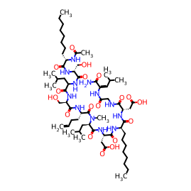 C=CCC[C@H](NC(=O)[C@@H](CO)NC(=O)C(CC(C)C)NC(=O)[C@@H](CO)NC(=O)[C@H](CCCCCCCC)NC(C)=O)C(=O)N(C)[C@H](CC(C)C)C(=O)N[C@@H](CC(=O)O)C(=O)N[C@H](CCCCCCCC)C(=O)N[C@@H](CC(=O)O)C(=O)NCC(=O)N/C(=C/C(C)C)C(N)=O